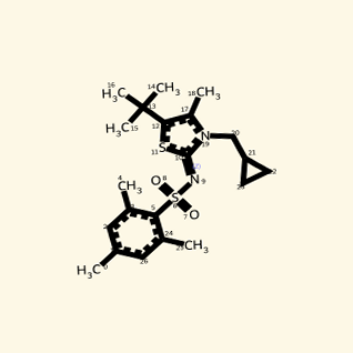 Cc1cc(C)c(S(=O)(=O)/N=c2\sc(C(C)(C)C)c(C)n2CC2CC2)c(C)c1